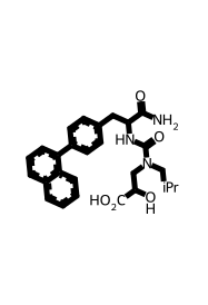 CC(C)CN(CC(O)C(=O)O)C(=O)NC(Cc1ccc(-c2cccc3ccccc23)cc1)C(N)=O